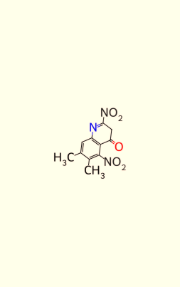 Cc1cc2c(c([N+](=O)[O-])c1C)C(=O)CC([N+](=O)[O-])=N2